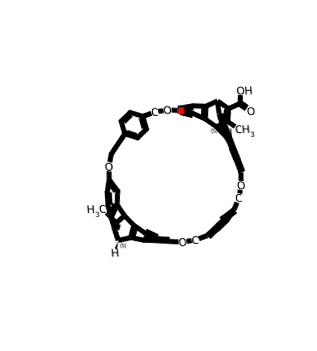 CC1=C[C@H]2c3ccc4cc3C1c1ccc(cc12)OCc1ccc(cc1)COc1ccc2c(c1)C1C(C(=O)O)=C(C)[C@@H]2c2cc(ccc21)OCc1ccc(cc1)CO4